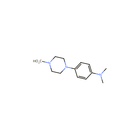 CN(C)c1ccc(N2CCN(C(=O)O)CC2)cc1